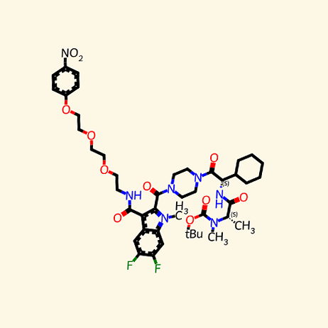 C[C@@H](C(=O)N[C@H](C(=O)N1CCN(C(=O)c2c(C(=O)NCCOCCOCCOc3ccc([N+](=O)[O-])cc3)c3cc(F)c(F)cc3n2C)CC1)C1CCCCC1)N(C)C(=O)OC(C)(C)C